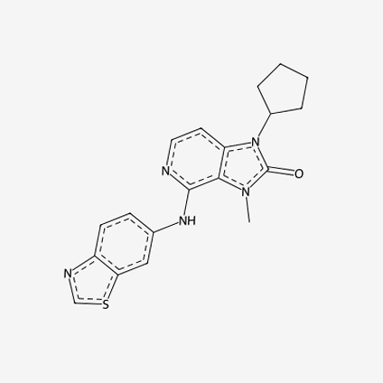 Cn1c(=O)n(C2CCCC2)c2ccnc(Nc3ccc4ncsc4c3)c21